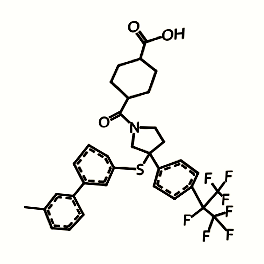 Cc1cccc(-c2cccc(SC3(c4ccc(C(F)(C(F)(F)F)C(F)(F)F)cc4)CCN(C(=O)C4CCC(C(=O)O)CC4)C3)c2)c1